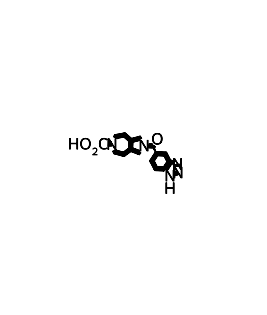 O=C(O)N1CCC2CN(C(=O)[C@@H]3CCc4[nH]nnc4C3)CC2CC1